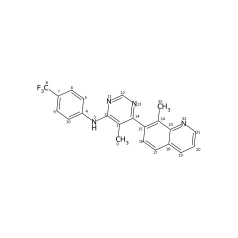 Cc1c(Nc2ccc(C(F)(F)F)cc2)ncnc1-c1ccc2cccnc2c1C